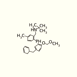 COCOc1ccc(CC2C=CC=CC2)cc1Pc1ccc(C)cc1CNC(C)(C)C